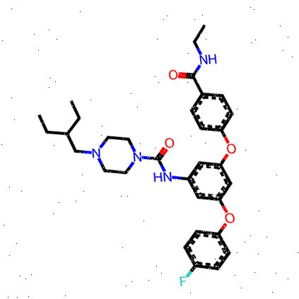 CCNC(=O)c1ccc(Oc2cc(NC(=O)N3CCN(CC(CC)CC)CC3)cc(Oc3ccc(F)cc3)c2)cc1